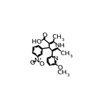 COc1cccc(C2=C(C)NC(C)=C(C(=O)O)C2c2cccc([N+](=O)[O-])c2)n1